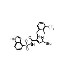 Cc1c(Cn2nc(C(C)(C)C)cc2C(=O)NS(=O)(=O)c2cccc3[nH]ccc23)cccc1C(F)(F)F